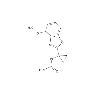 COc1cccc2oc(C3(NC(N)=O)CC3)nc12